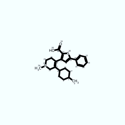 CC1CCC(C2=C(c3cc(-c4ccccc4)sc3C(=O)O)CCN(C)C2)CC1